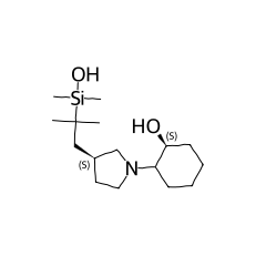 CC(C)(C[C@@H]1CCN(C2CCCC[C@@H]2O)C1)[Si](C)(C)O